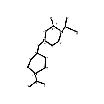 CC(C)N1CCC(CN2CCN(C(C)C)[C@H](C)C2)CC1